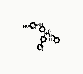 N#Cc1ccc(N[C@H]2CC[C@@H](N(C(=O)NCc3ccccc3)c3ccc(-c4cccnc4)cc3)CC2)nc1